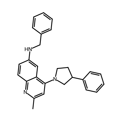 Cc1cc(N2CCC(c3ccccc3)C2)c2cc(NCc3ccccc3)ccc2n1